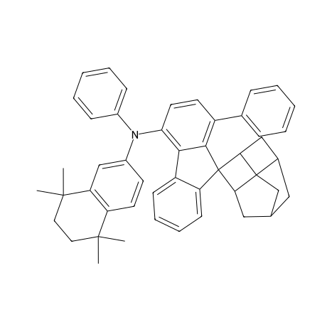 CC1(C)CCC(C)(C)c2cc(N(c3ccccc3)c3ccc(-c4ccccc4)c4c3-c3ccccc3C43C4CC5CC6CC3C64C5)ccc21